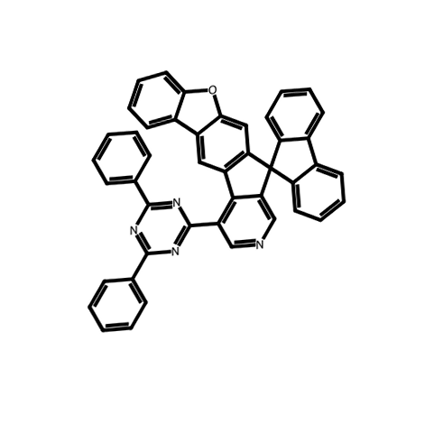 c1ccc(-c2nc(-c3ccccc3)nc(-c3cncc4c3-c3cc5c(cc3C43c4ccccc4-c4ccccc43)oc3ccccc35)n2)cc1